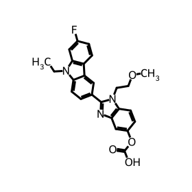 CCn1c2ccc(-c3nc4cc(OC(=O)O)ccc4n3CCOC)cc2c2ccc(F)cc21